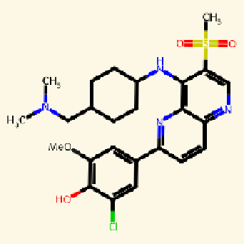 COc1cc(-c2ccc3ncc(S(C)(=O)=O)c(NC4CCC(CN(C)C)CC4)c3n2)cc(Cl)c1O